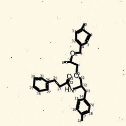 Cc1ccc(COC(C)COCC(Cc2ccc(C)cc2)NC(=O)CCc2ccccc2)cc1